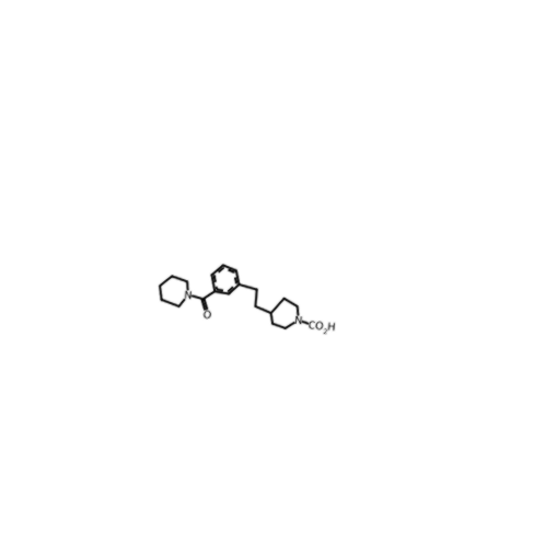 O=C(O)N1CCC(CCc2cccc(C(=O)N3CCCCC3)c2)CC1